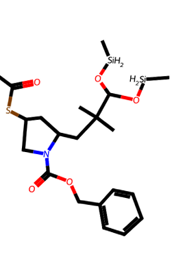 C[SiH2]OC(O[SiH2]C)C(C)(C)CC1CC(SC(C)=O)CN1C(=O)OCc1ccccc1